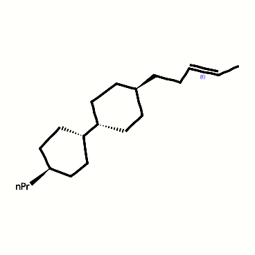 C/C=C/CC[C@H]1CC[C@H]([C@H]2CC[C@H](CCC)CC2)CC1